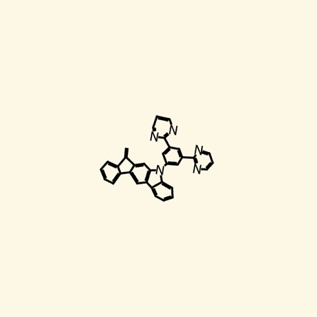 C=C1c2ccccc2-c2cc3c4ccccc4n(-c4cc(-c5ncccn5)cc(-c5ncccn5)c4)c3cc21